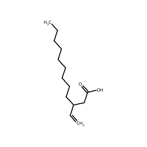 C=CC(CCCCCCCCC)CC(=O)O